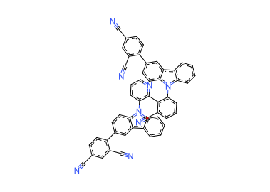 N#Cc1ccc(-c2ccc3c(c2)c2ccccc2n3-c2cccnc2-c2c(C#N)cccc2-n2c3ccccc3c3cc(-c4ccc(C#N)cc4C#N)ccc32)c(C#N)c1